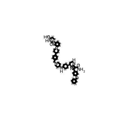 NC(=O)c1c(-c2ccc(Oc3ccccc3)cc2)nn2c1NCC[C@H]2C1CCC(NC2CCN(Cc3ccc(C4CCN(c5cccc(N6CCC(O)NC6O)c5)CC4)cc3)CC2)CC1